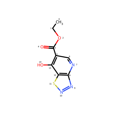 CCOC(=O)c1cnc2nnsc2c1O